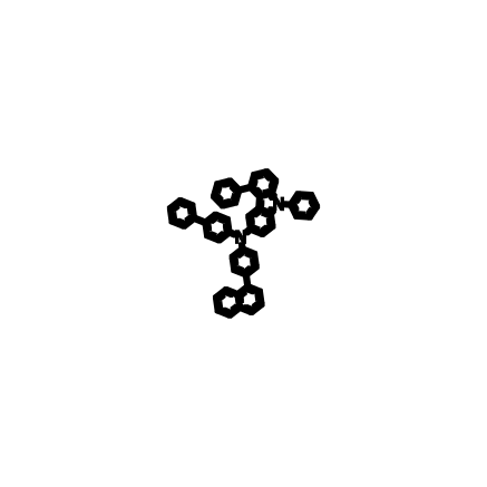 c1ccc(-c2ccc(N(c3ccc(-c4cccc5ccccc45)cc3)c3ccc4c(c3)c3c(-c5ccccc5)cccc3n4-c3ccccc3)cc2)cc1